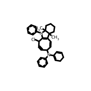 CC12CCCCC1(C)N(c1ccccc1)C1=C2/C=C\C(N(C2=CCCC=C2)c2ccccc2)C#CC1Cl